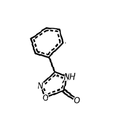 O=c1[nH]c(-c2[c]cccc2)no1